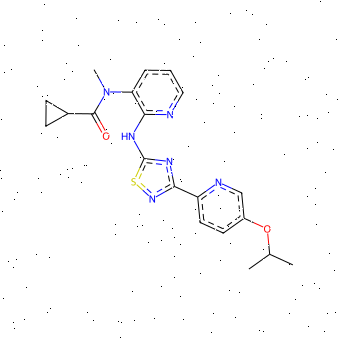 CC(C)Oc1ccc(-c2nsc(Nc3ncccc3N(C)C(=O)C3CC3)n2)nc1